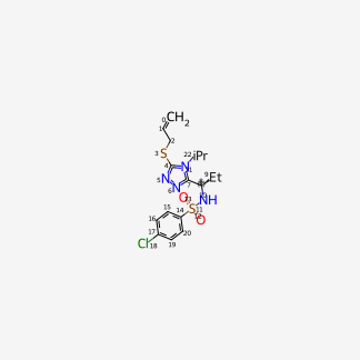 C=CCSc1nnc([C@@H](CC)NS(=O)(=O)c2ccc(Cl)cc2)n1C(C)C